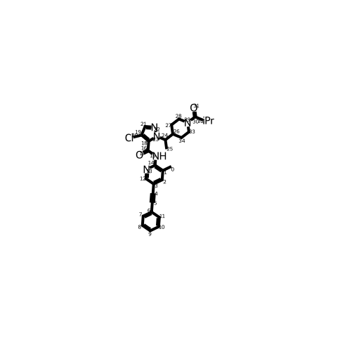 Cc1cc(C#Cc2ccccc2)cnc1NC(=O)c1c(Cl)cnn1C(C)C1CCN(C(=O)C(C)C)CC1